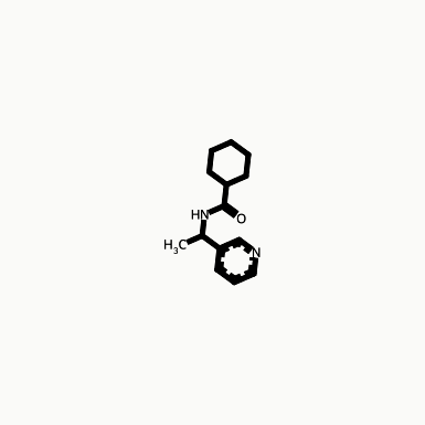 CC(NC(=O)C1CCCCC1)c1cccnc1